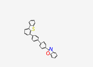 c1ccc2oc(-c3ccc(-c4ccc(-c5cccc6c5sc5ccccc56)cc4)cc3)nc2c1